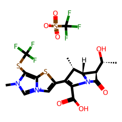 C[C@@H](O)[C@H]1C(=O)N2C(C(=O)O)=C(c3c[n+]4cn(C)c(SC(F)(F)F)c4s3)[C@H](C)[C@H]12.O=S(=O)([O-])C(F)(F)F